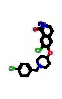 O=c1[nH]ccc2cc(OC3CCN(CC4=CC=C(Cl)CC4)CC3)c(Cl)cc12